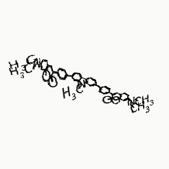 CCN(CC)c1ccc2cc(-c3ccc(-c4ccc5c6ccc(-c7ccc(-c8cc9ccc(N(CC)CC)cc9oc8=O)cc7)cc6n(C)c5c4)cc3)c(=O)oc2c1